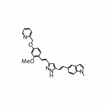 COc1cc(OCc2ccccn2)ccc1/C=C/c1cc(/C=C/c2ccc3c(ccn3C)c2)[nH]n1